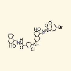 COc1cc(Br)ccc1C(=O)N/N=C/c1c(O)ccc2cc(Nc3ccc(C(=O)N/N=C/c4c(O)ccc5ccccc45)cc3Cl)ccc12